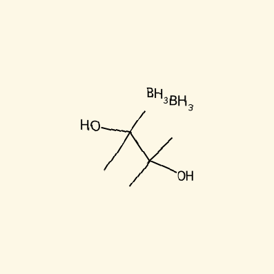 B.B.CC(C)(O)C(C)(C)O